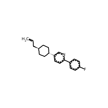 C=CC[C@H]1CC[C@H](c2ccc(-c3ccc(F)cc3)nc2)CC1